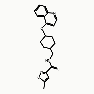 Cc1cc(C(=O)NCC2CCC(Oc3ccnc4ccccc34)CC2)no1